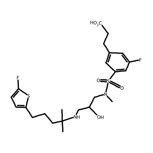 CN(CC(O)CNC(C)(C)CCCc1ccc(F)s1)S(=O)(=O)c1cc(F)cc(CCC(=O)O)c1